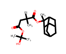 CCC(C)(CC(=O)OC(C)(O)C(F)(F)F)C(=O)OC1(C)C2CC3CC(C2)CC1C3